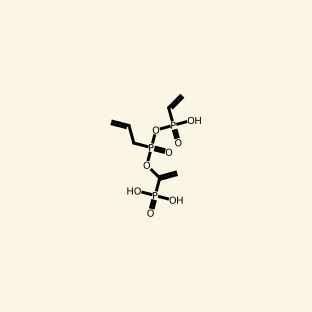 C=CCP(=O)(OC(=C)P(=O)(O)O)OP(=O)(O)C=C